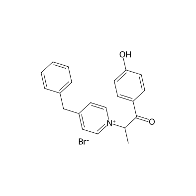 CC(C(=O)c1ccc(O)cc1)[n+]1ccc(Cc2ccccc2)cc1.[Br-]